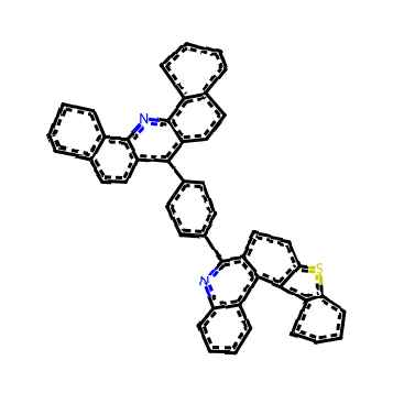 c1ccc2c(c1)ccc1c(-c3ccc(-c4nc5ccccc5c5c4ccc4sc6ccccc6c45)cc3)c3ccc4ccccc4c3nc12